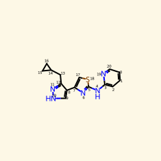 c1ccc(Nc2nc(-c3c[nH]nc3CC3CC3)cs2)nc1